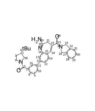 CC(C)(C)C1CCN(C(=O)c2cccc(-c3ccc4c(c3)N=C(N)CC(C(=O)N3Cc5ccccc5C3)=C4)c2)C1